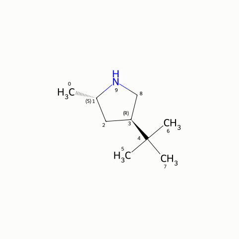 C[C@H]1C[C@H](C(C)(C)C)CN1